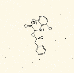 O=C(Cc1ccccc1)OC(Nc1c(Cl)cccc1Cl)C(=O)O